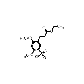 CCOC(=O)CCc1cc(S(=O)(=O)Cl)c(OC)cc1OC